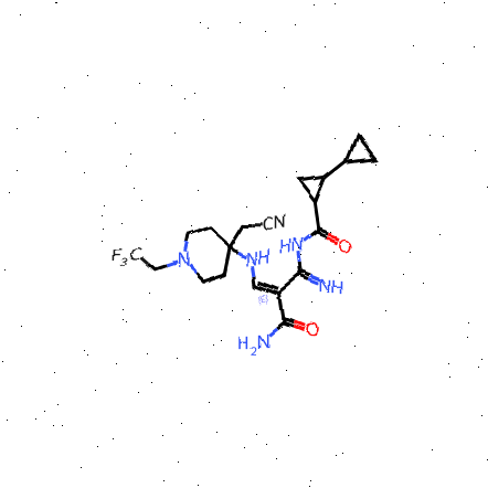 N#CCC1(N/C=C(\C(=N)NC(=O)C2CC2C2CC2)C(N)=O)CCN(CC(F)(F)F)CC1